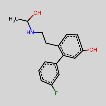 CC(O)NCCc1ccc(O)cc1-c1cccc(F)c1